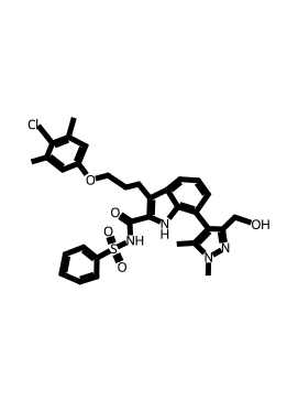 Cc1cc(OCCCc2c(C(=O)NS(=O)(=O)c3ccccc3)[nH]c3c(-c4c(CO)nn(C)c4C)cccc23)cc(C)c1Cl